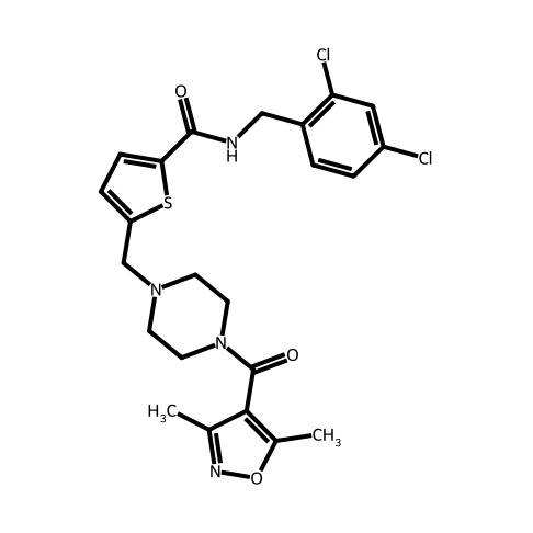 Cc1noc(C)c1C(=O)N1CCN(Cc2ccc(C(=O)NCc3ccc(Cl)cc3Cl)s2)CC1